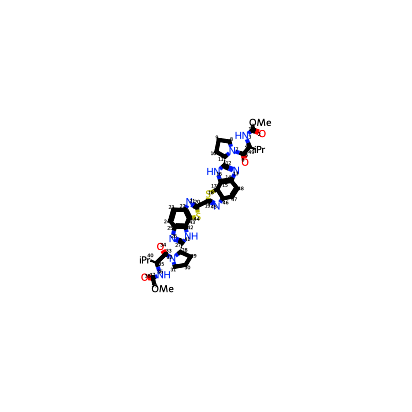 COC(=O)N[C@H](C(=O)N1CCC[C@H]1c1nc2c([nH]1)C1SC(c3nc4ccc5nc([C@@H]6CCCN6C(=O)[C@@H](NC(=O)OC)C(C)C)[nH]c5c4s3)=NC1C=C2)C(C)C